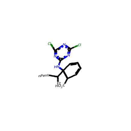 CCCCCC(CC)C1(Nc2nc(Cl)nc(Cl)n2)C=CC=CC1C(=O)O